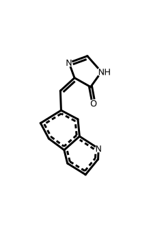 O=C1NC=NC1=Cc1ccc2cccnc2c1